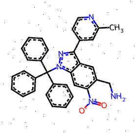 Cc1cc(-c2nn(C(c3ccccc3)(c3ccccc3)c3ccccc3)c3cc([N+](=O)[O-])c(CN)cc23)ccn1